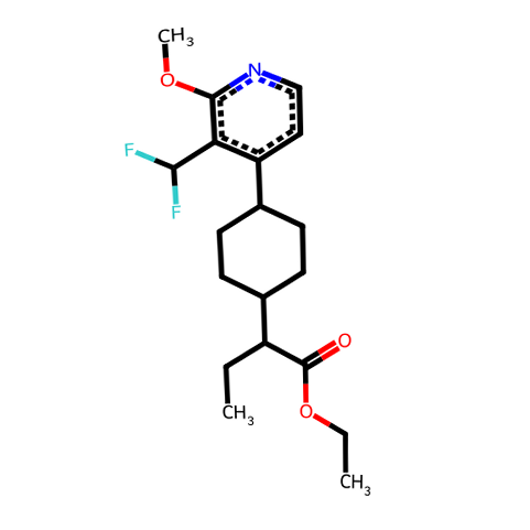 CCOC(=O)C(CC)C1CCC(c2ccnc(OC)c2C(F)F)CC1